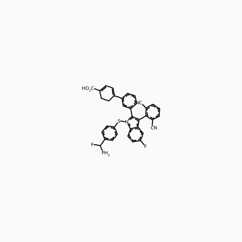 N#Cc1cccc(C#N)c1-c1c(-c2cccc(C3=CC=C(C(=O)O)CC3)c2)n(Sc2ccc(C(F)P)cc2)c2ccc(F)cc12